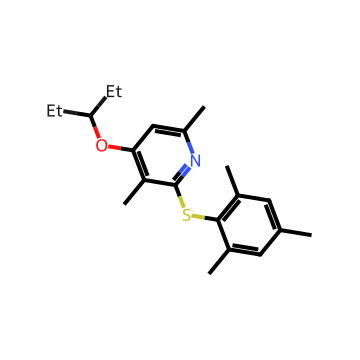 CCC(CC)Oc1cc(C)nc(Sc2c(C)cc(C)cc2C)c1C